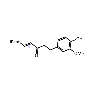 CCCC(C)/C=C/C(=O)CCc1ccc(O)c(OC)c1